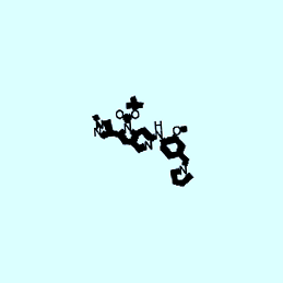 COc1cc(CN2CCCC2)ccc1Nc1cc2c(cn1)cc(-c1cnn(C)c1)n2C(=O)OC(C)(C)C